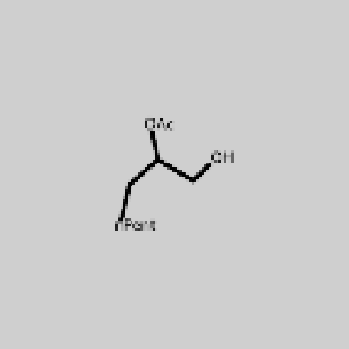 CCCCCCC(CO)OC(C)=O